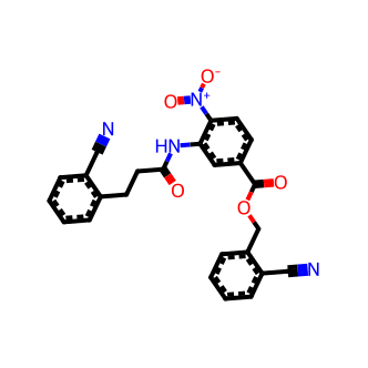 N#Cc1ccccc1CCC(=O)Nc1cc(C(=O)OCc2ccccc2C#N)ccc1[N+](=O)[O-]